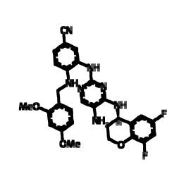 COc1ccc(CNc2ccc(C#N)cc2Nc2ncc(N)c(N[C@@H]3CCOc4c(F)cc(F)cc43)n2)c(OC)c1